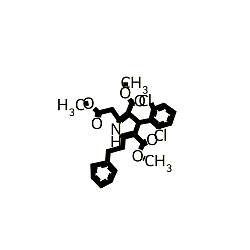 COC(=O)CC1=C(C(=O)OC)C(c2c(Cl)cccc2Cl)C(C(=O)OC)=C(CCc2ccccc2)N1